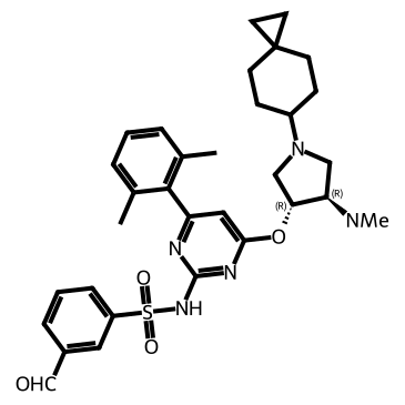 CN[C@@H]1CN(C2CCC3(CC2)CC3)C[C@H]1Oc1cc(-c2c(C)cccc2C)nc(NS(=O)(=O)c2cccc(C=O)c2)n1